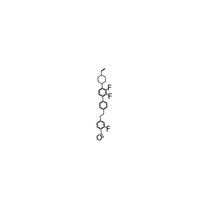 C=CC1CCC(c2ccc(-c3ccc(CCc4ccc(C5CO5)c(F)c4)cc3)c(F)c2F)CC1